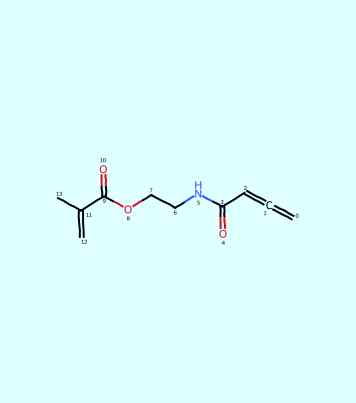 C=C=CC(=O)NCCOC(=O)C(=C)C